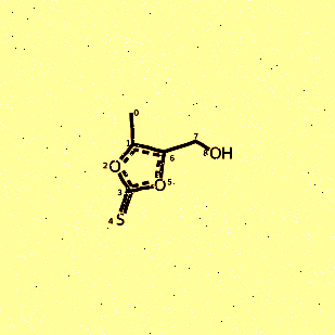 Cc1oc(=S)oc1CO